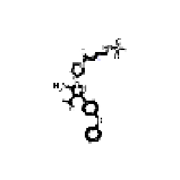 CC(=O)c1c(-c2ccc(Oc3ccccc3)cc2)nn([C@@H]2CCN(C(=O)/C=C/CNS(C)(=O)=O)C2)c1N